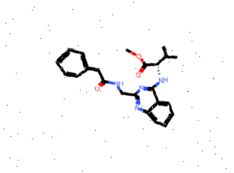 COC(=O)[C@@H](Nc1nc(CNC(=O)Cc2ccccc2)nc2ccccc12)C(C)C